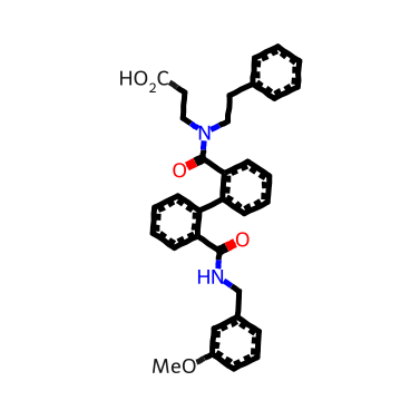 COc1cccc(CNC(=O)c2ccccc2-c2ccccc2C(=O)N(CCC(=O)O)CCc2ccccc2)c1